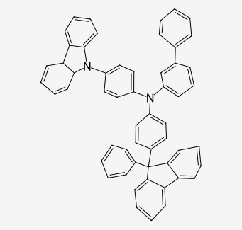 C1=CC2c3ccccc3N(c3ccc(N(c4ccc(C5(c6ccccc6)c6ccccc6-c6ccccc65)cc4)c4cccc(-c5ccccc5)c4)cc3)C2C=C1